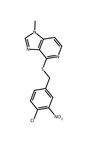 Cn1cnc2c(SCc3ccc(Cl)c([N+](=O)[O-])c3)nccc21